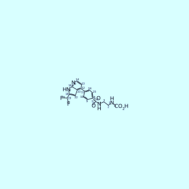 O=C(O)NCCNS(=O)(=O)c1ccc(-c2ccnc3[nH]c(C(F)F)cc23)cc1